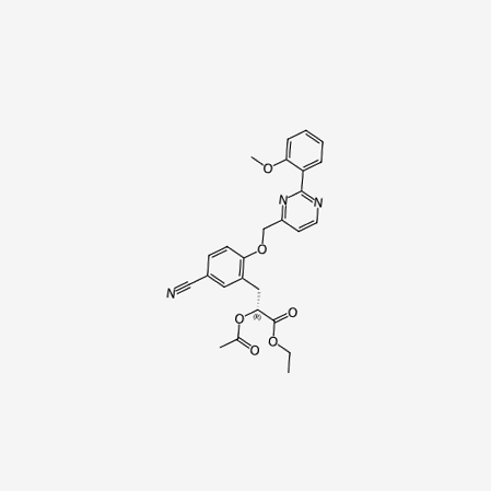 CCOC(=O)[C@@H](Cc1cc(C#N)ccc1OCc1ccnc(-c2ccccc2OC)n1)OC(C)=O